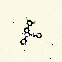 Fc1cc(F)cc(-c2ccc3nc(-c4cccnc4)nc(NCc4ccccn4)c3c2)c1